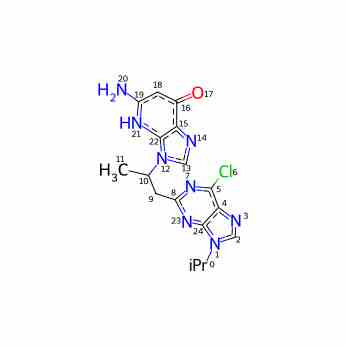 CC(C)n1cnc2c(Cl)nc(CC(C)n3cnc4c(=O)cc(N)[nH]c43)nc21